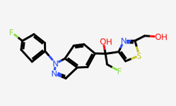 OCc1nc(C(O)(CF)c2ccc3c(cnn3-c3ccc(F)cc3)c2)cs1